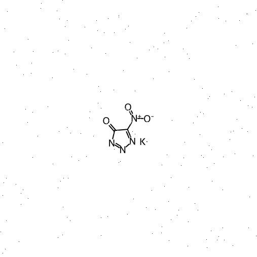 O=C1N=NN=C1[N+](=O)[O-].[K]